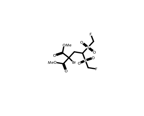 COC(=O)C(Br)(CC(S(=O)(=O)CF)S(=O)(=O)CF)C(=O)OC